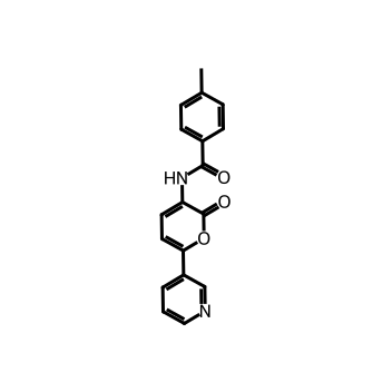 Cc1ccc(C(=O)Nc2ccc(-c3cccnc3)oc2=O)cc1